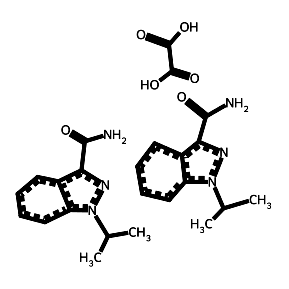 CC(C)n1nc(C(N)=O)c2ccccc21.CC(C)n1nc(C(N)=O)c2ccccc21.O=C(O)C(=O)O